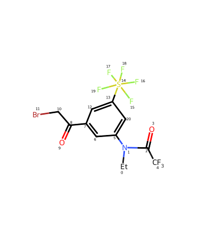 CCN(C(=O)C(F)(F)F)c1cc(C(=O)CBr)cc(S(F)(F)(F)(F)F)c1